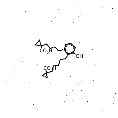 O=C(O)C1(CCCCCc2c(O)cccc2CCCCC2(C(=O)O)CC2)CC1